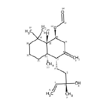 C=C[C@@](C)(O)CC[C@H]1C(=C)C[C@H](OC=O)[C@H]2C(C)(C)CCC[C@]12C